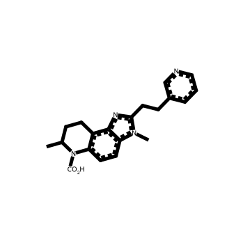 CC1CCc2c(ccc3c2nc(CCc2cccnc2)n3C)N1C(=O)O